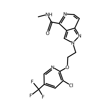 CNC(=O)c1nccc2nn(CCOc3ncc(C(F)(F)F)cc3Cl)cc12